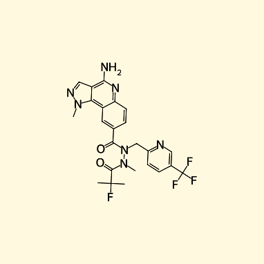 CN(C(=O)C(C)(C)F)N(Cc1ccc(C(F)(F)F)cn1)C(=O)c1ccc2nc(N)c3cnn(C)c3c2c1